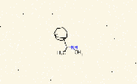 CNC(C)C1CCC2CCCC1CC2